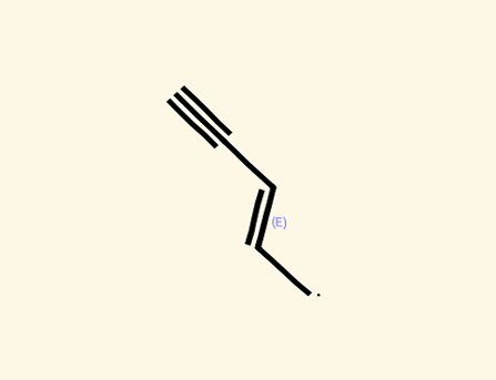 C#C/C=C/[CH2]